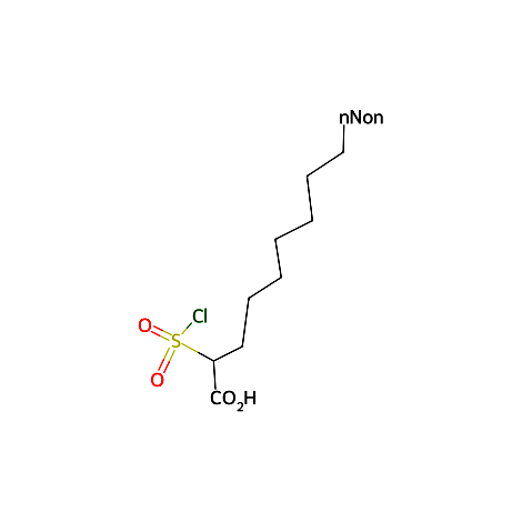 CCCCCCCCCCCCCCCCC(C(=O)O)S(=O)(=O)Cl